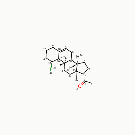 CC(=O)[C@H]1CC[C@H]2[C@@H]3CC=C4CCCC(F)[C@]4(C)[C@H]3CC[C@]12C